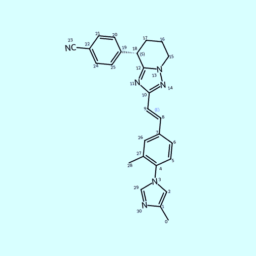 Cc1cn(-c2ccc(/C=C/c3nc4n(n3)CCC[C@H]4c3ccc(C#N)cc3)cc2C)cn1